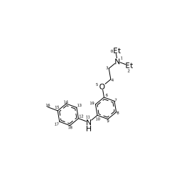 CCN(CC)CCOc1cccc(Nc2ccc(C)cc2)c1